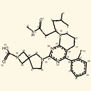 CNC(=O)CC(CC(C)C)N1CCCc2c(-c3ccccc3F)nc(N3CCC4(CN(C(=O)O)C4)C3)nc21